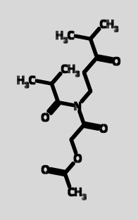 CC(=O)OCC(=O)N(CCC(=O)C(C)C)C(=O)C(C)C